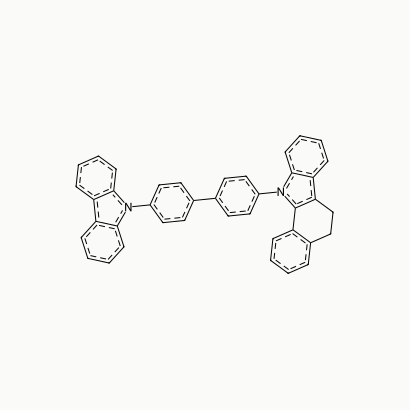 c1ccc2c(c1)CCc1c-2n(-c2ccc(-c3ccc(-n4c5ccccc5c5ccccc54)cc3)cc2)c2ccccc12